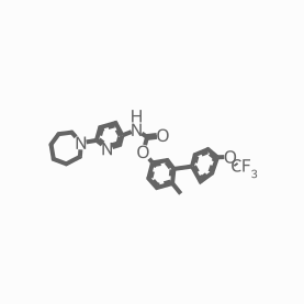 Cc1ccc(OC(=O)Nc2ccc(N3CCCCCC3)nc2)cc1-c1ccc(OC(F)(F)F)cc1